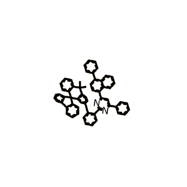 CC1(C)c2ccccc2C2(c3ccccc3-c3ccccc32)c2cc(-c3ccccc3-c3nc(-c4ccccc4)cc(-c4ccc(-c5ccccc5)c5ccccc45)n3)ccc21